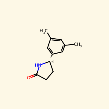 Cc1cc(C)cc([C@@H]2CCC(=O)N2)c1